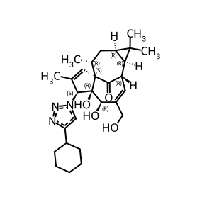 CC1=C[C@]23C(=O)[C@@H](C=C(CO)[C@@H](O)[C@]2(O)[C@H]1n1cc(C2CCCCC2)nn1)[C@H]1[C@@H](C[C@H]3C)C1(C)C